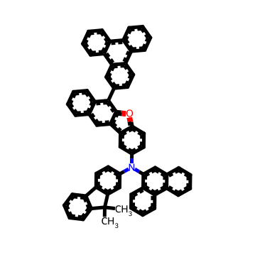 CC1(C)c2ccccc2-c2ccc(N(c3ccc4oc5c(-c6ccc7c8ccccc8c8ccccc8c7c6)c6ccccc6cc5c4c3)c3cc4ccccc4c4ccccc34)cc21